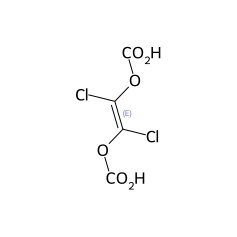 O=C(O)O/C(Cl)=C(\Cl)OC(=O)O